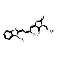 CC(=CC=C1Oc2ccccc2N1C)/C=C1/SC(=S)N(CC(=O)O)C1=O